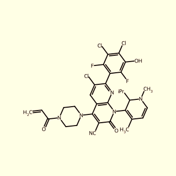 C=CC(=O)N1CCN(c2c(C#N)c(=O)n(C3=C(C)C=CN(C)C3C(C)C)c3nc(-c4c(F)c(O)c(Cl)c(Cl)c4F)c(Cl)cc23)CC1